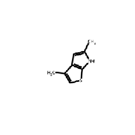 Cc1cc2c(C)csc2[nH]1